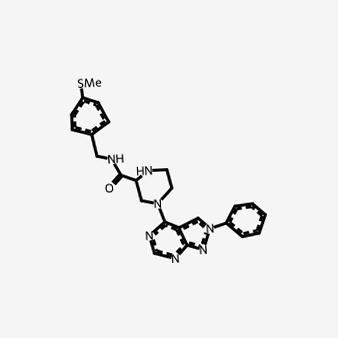 CSc1ccc(CNC(=O)C2CN(c3ncnc4nn(-c5ccccc5)cc34)CCN2)cc1